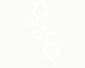 Cc1ccc(S(=O)(=O)N=[S@](=O)(CF)c2ccccc2)cc1